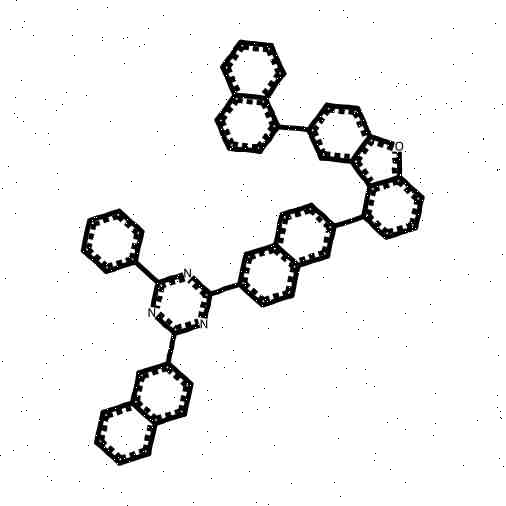 c1ccc(-c2nc(-c3ccc4ccccc4c3)nc(-c3ccc4cc(-c5cccc6oc7ccc(-c8cccc9ccccc89)cc7c56)ccc4c3)n2)cc1